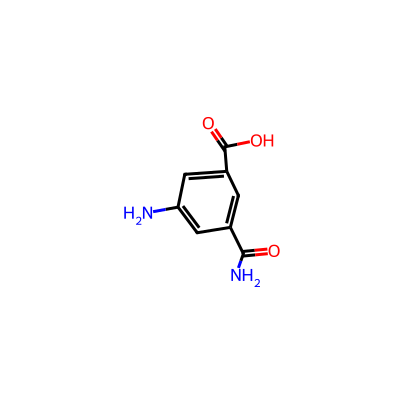 NC(=O)c1cc(N)cc(C(=O)O)c1